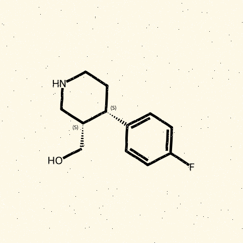 OC[C@@H]1CNCC[C@@H]1c1ccc(F)cc1